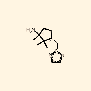 CC1(C)[C@@H](Cn2nccn2)CC[C@@]1(C)N